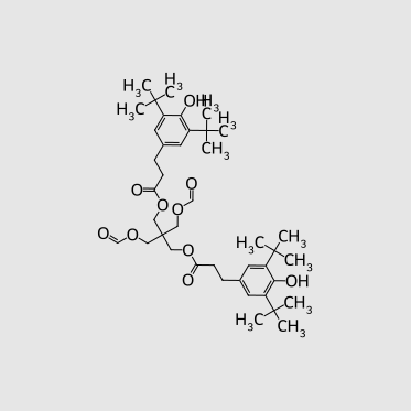 CC(C)(C)c1cc(CCC(=O)OCC(COC=O)(COC=O)COC(=O)CCc2cc(C(C)(C)C)c(O)c(C(C)(C)C)c2)cc(C(C)(C)C)c1O